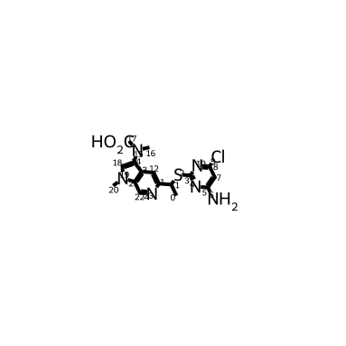 CC(Sc1nc(N)cc(Cl)n1)c1cc2c(N(C)C(=O)O)cn(C)c2cn1